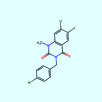 Cn1c(=O)n(Cc2ccc(Br)cc2)c(=O)c2cc(F)c(Cl)cc21